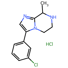 CC1NCCn2c(-c3cccc(Cl)c3)cnc21.Cl